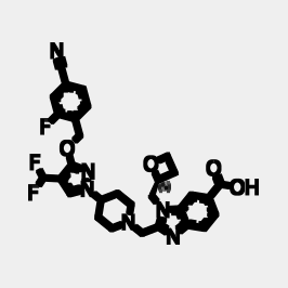 N#Cc1ccc(COc2nn(C3CCN(Cc4nc5ccc(C(=O)O)cc5n4C[C@@H]4CCO4)CC3)cc2C(F)F)c(F)c1